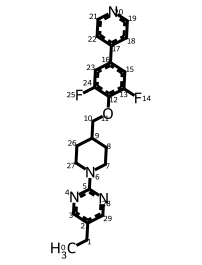 CCc1cnc(N2CCC(COc3c(F)cc(-c4ccncc4)cc3F)CC2)nc1